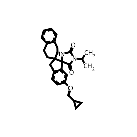 CC(C)N1C(=O)NC2(C1=O)c1cc(OCC3CC3)ccc1CC21CCc2ccccc2CC1